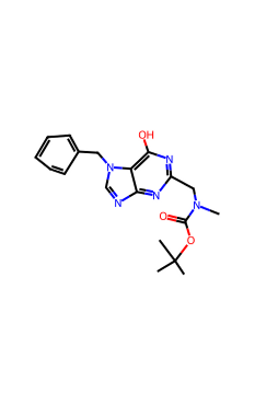 CN(Cc1nc(O)c2c(ncn2Cc2ccccc2)n1)C(=O)OC(C)(C)C